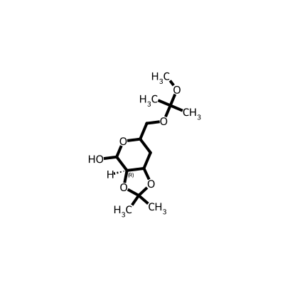 COC(C)(C)OCC1CC2OC(C)(C)O[C@H]2C(O)O1